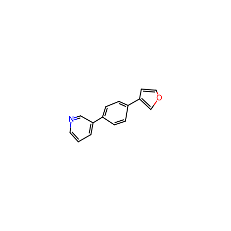 c1cncc(-c2ccc(-c3ccoc3)cc2)c1